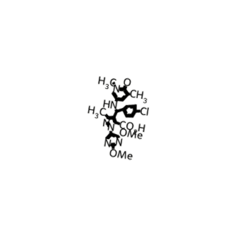 COc1ncc(-n2nc(C)c(C(Nc3cc(C)c(=O)n(C)c3)c3ccc(Cl)cc3)c2C(=O)O)c(OC)n1